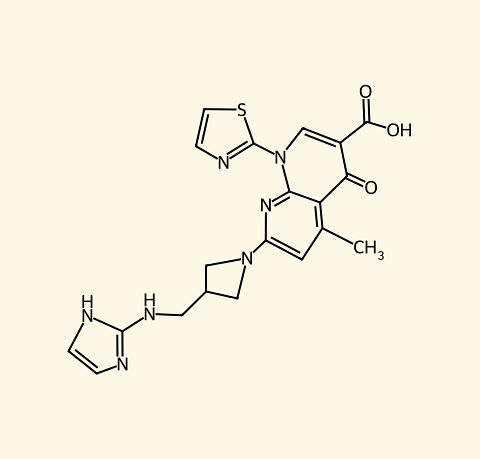 Cc1cc(N2CC(CNc3ncc[nH]3)C2)nc2c1c(=O)c(C(=O)O)cn2-c1nccs1